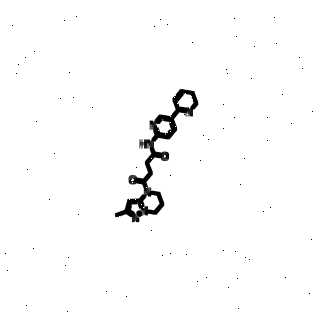 Cc1cc2n(n1)CCCN2C(=O)CCC(=O)Nc1ccc(C2=NCCC=C2)cn1